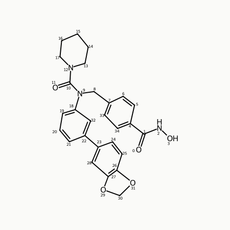 O=C(NO)c1ccc(CN(C(=O)N2CCCCC2)c2cccc(-c3ccc4c(c3)OCO4)c2)cc1